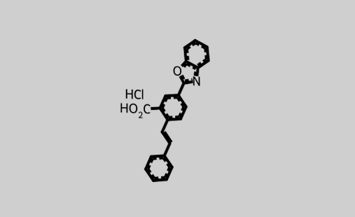 Cl.O=C(O)c1cc(-c2nc3ccccc3o2)ccc1C=Cc1ccccc1